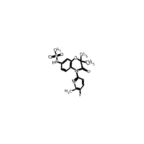 Cc1nc(N2C(=O)C(C)(C)Oc3cc(NS(C)(=O)=O)ccc32)ccc1F